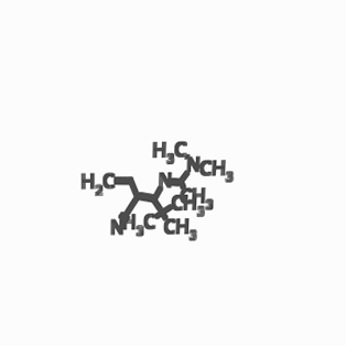 C=C/C(C#N)=C(\N=C(/C)N(C)C)C(C)(C)C